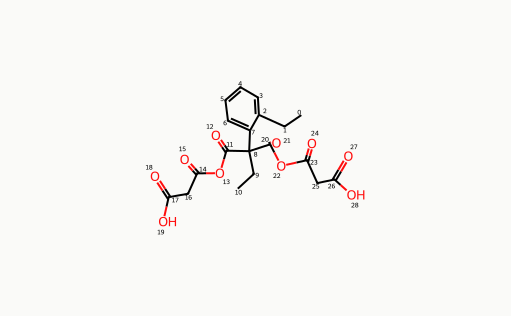 CCc1ccccc1C(CC)(C(=O)OC(=O)CC(=O)O)C(=O)OC(=O)CC(=O)O